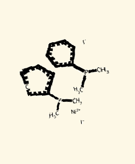 CP(C)c1ccccc1.CP(C)c1ccccc1.[I-].[I-].[Ni+2]